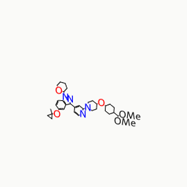 COC(OC)C1CCC(OC2CCN(c3cc(-c4nn(C5CCCCO5)c5ccc(OC6(C)CC6)cc45)ccn3)CC2)CC1